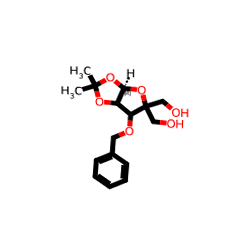 CC1(C)OC2C(OCc3ccccc3)C(CO)(CO)O[C@@H]2O1